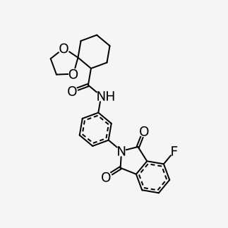 O=C(Nc1cccc(N2C(=O)c3cccc(F)c3C2=O)c1)C1CCCCC12OCCO2